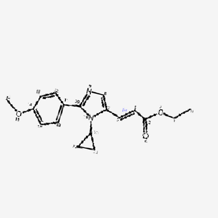 CCOC(=O)/C=C/c1cnc(-c2ccc(OC)cc2)n1C1CC1